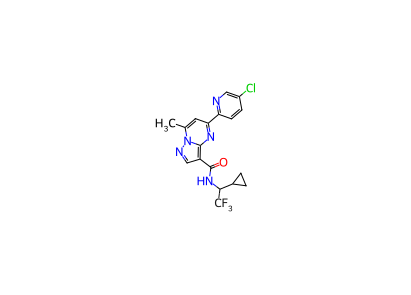 Cc1cc(-c2ccc(Cl)cn2)nc2c(C(=O)NC(C3CC3)C(F)(F)F)cnn12